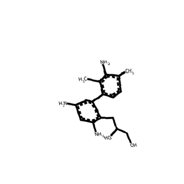 Cc1ccc(-c2cc(N)cc(N)c2CC(O)CO)c(C)c1N